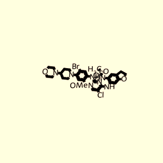 COc1cc(N2CCC(N3CCOCC3)CC2)c(Br)cc1Nc1ncc(Cl)c(Nc2cc3c(cc2NS(C)(=O)=O)CCO3)n1